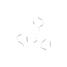 O=C(c1ccc(Cl)cc1)N(Cc1cccnc1)Cc1cc(Cl)cc(Cl)c1